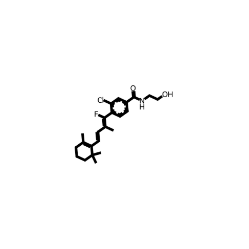 CC1=C(/C=C/C(C)=C(\F)c2ccc(C(=O)NCCO)cc2Cl)C(C)(C)CCC1